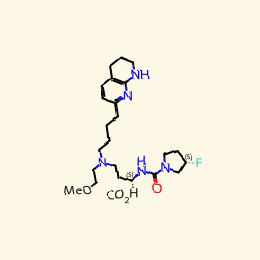 COCCN(CCCCc1ccc2c(n1)NCCC2)CC[C@H](NC(=O)N1CC[C@H](F)C1)C(=O)O